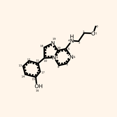 COCCNc1nccn2c(-c3cccc(O)c3)cnc12